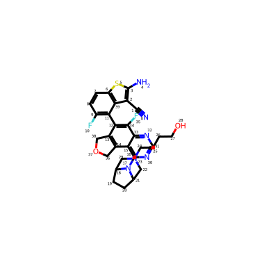 N#Cc1c(N)sc2ccc(F)c(-c3c4c(c5c(N6C7CCC6CN(CCCCO)C7)ncnc5c3F)COC4)c12